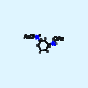 CC(=O)O/N=C1/CCC/C(=N\OC(C)=O)C1